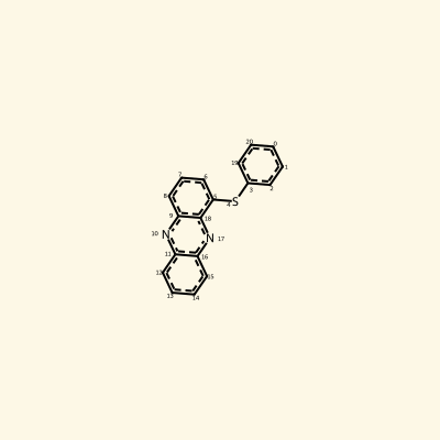 c1ccc(Sc2cccc3nc4ccccc4nc23)cc1